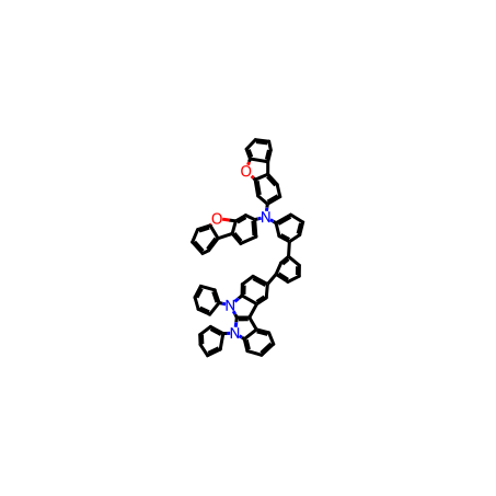 c1ccc(-n2c3ccccc3c3c4cc(-c5cccc(-c6cccc(N(c7ccc8c(c7)oc7ccccc78)c7ccc8c(c7)oc7ccccc78)c6)c5)ccc4n(-c4ccccc4)c32)cc1